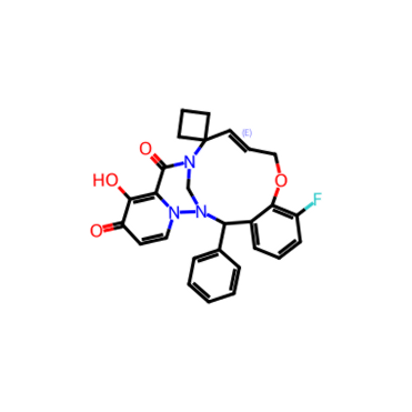 O=C1c2c(O)c(=O)ccn2N2CN1C1(/C=C/COc3c(F)cccc3C2c2ccccc2)CCC1